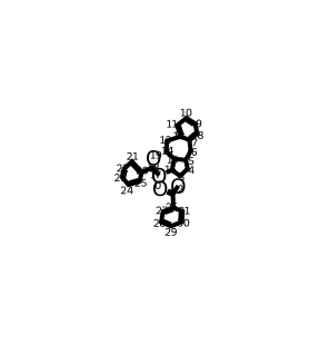 O=C(OC1CC2Cc3ccccc3CCC2C1OC(=O)c1ccccc1)c1ccccc1